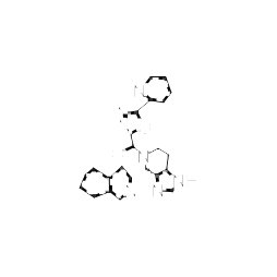 O=C(c1nnc(-c2ccccn2)o1)N1CCc2[nH]cnc2[C@@H]1c1cc2ccccc2cn1